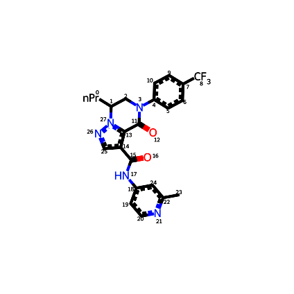 CCCC1CN(c2ccc(C(F)(F)F)cc2)C(=O)c2c(C(=O)Nc3ccnc(C)c3)cnn21